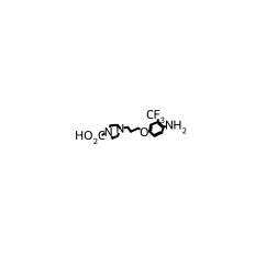 Nc1ccc(OCCCN2CCN(C(=O)O)CC2)cc1C(F)(F)F